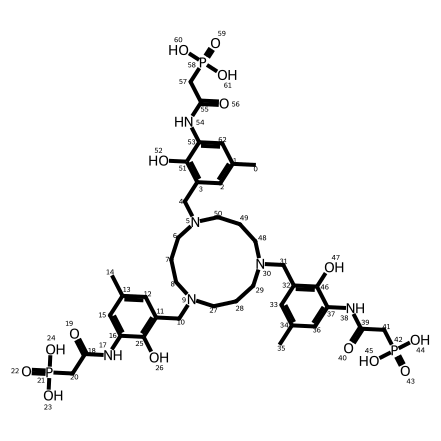 Cc1cc(CN2CCCN(Cc3cc(C)cc(NC(=O)CP(=O)(O)O)c3O)CCCN(Cc3cc(C)cc(NC(=O)CP(=O)(O)O)c3O)CCC2)c(O)c(NC(=O)CP(=O)(O)O)c1